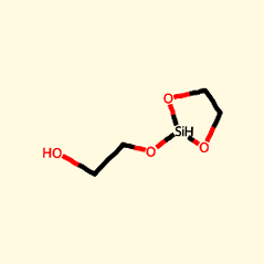 OCCO[SiH]1OCCO1